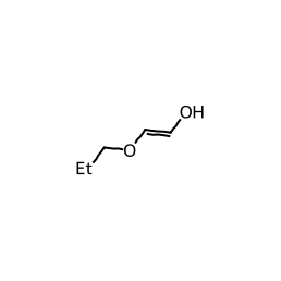 CCCOC=CO